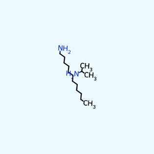 CC(C)N.CCCCCCCCCCCCN